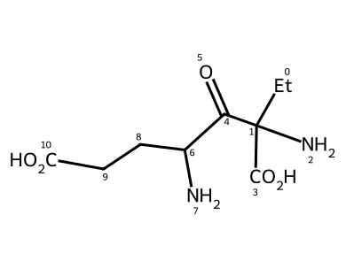 CCC(N)(C(=O)O)C(=O)C(N)CCC(=O)O